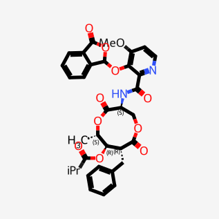 COc1ccnc(C(=O)N[C@H]2COC(=O)[C@H](Cc3ccccc3)[C@@H](OC(=O)C(C)C)[C@H](C)OC2=O)c1OC1OC(=O)c2ccccc21